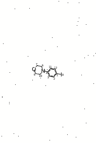 Ic1ccc(N2CCOCC2)cc1